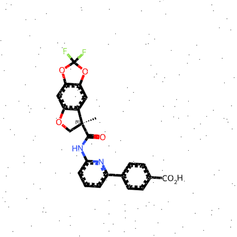 C[C@]1(C(=O)Nc2cccc(-c3ccc(C(=O)O)cc3)n2)COc2cc3c(cc21)OC(F)(F)O3